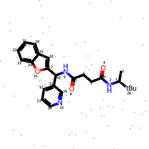 CC(NC(=O)CCC(=O)NC(c1cccnc1)c1cc2ccccc2o1)C(C)(C)C